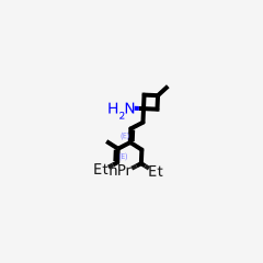 CC/C=C(C)/C(=C/CC1(N)CC(C)C1)CC(CC)CCC